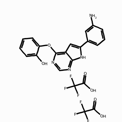 Nc1cccc(-c2cc3c(Oc4ccccc4O)ncnc3[nH]2)c1.O=C(O)C(F)(F)F.O=C(O)C(F)(F)F